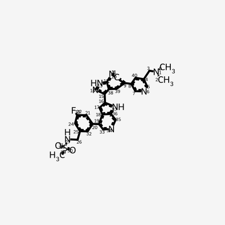 CN(C)Cc1cncc(-c2cnc3[nH]nc(-c4cc5c(-c6cc(F)cc(CNS(C)(=O)=O)c6)cncc5[nH]4)c3c2)c1